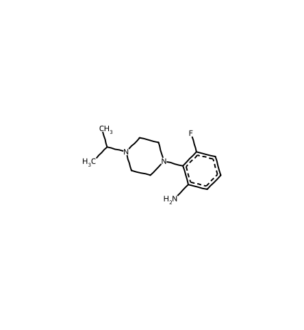 CC(C)N1CCN(c2c(N)cccc2F)CC1